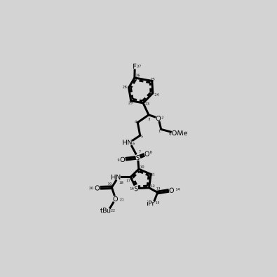 COCOC(CCNS(=O)(=O)c1cc(C(=O)C(C)C)sc1NC(=O)OC(C)(C)C)c1ccc(F)cc1